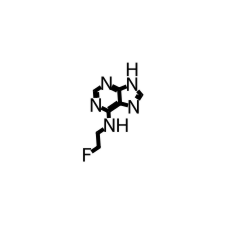 FCCNc1ncnc2[nH]cnc12